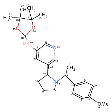 COc1ccc([C@@H](C)N2CCC[C@H]2c2cncc(BC3OC(C)(C)C(C)(C)O3)c2)cc1